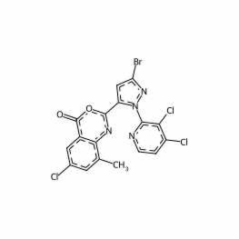 Cc1cc(Cl)cc2c(=O)oc(-c3cc(Br)nn3-c3nccc(Cl)c3Cl)nc12